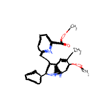 COC(=O)c1cccc(Cc2c(-c3ccccc3)[nH]c3cc(OC)c(C)cc23)n1